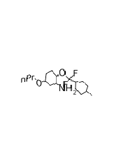 CCCOC1CCC(OC(F)(F)C2CCC(C)CC2)C(N)C1